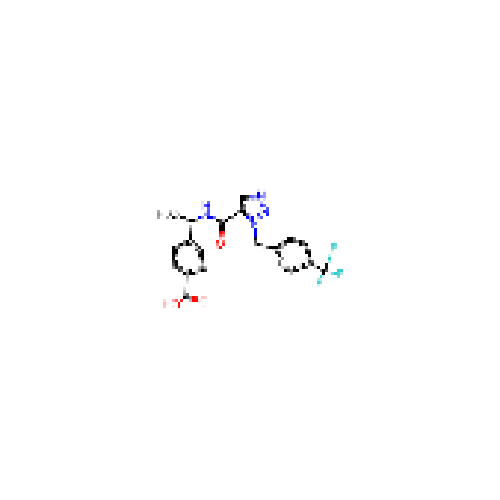 CC(NC(=O)c1cnnn1Cc1ccc(C(F)(F)F)cc1)c1ccc(C(=O)O)cc1